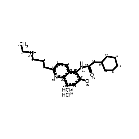 CCNCCCc1ccc2c(NC(=O)CC3CCCCC3)c(Cl)ccc2n1.Cl.Cl